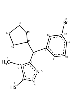 Cn1c(S)nnc1C(c1cccc(Br)c1)C1CCCC1